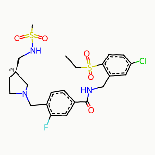 CCS(=O)(=O)c1ccc(Cl)cc1CNC(=O)c1ccc(CN2CC[C@@H](CNS(C)(=O)=O)C2)c(F)c1